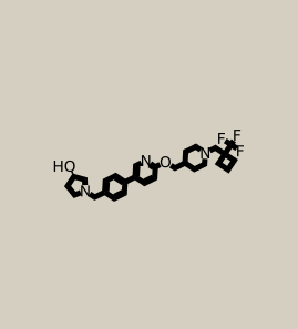 O[C@H]1CCN(Cc2ccc(-c3ccc(OCC4CCN(CC5(C(F)(F)F)CCC5)CC4)nc3)cc2)C1